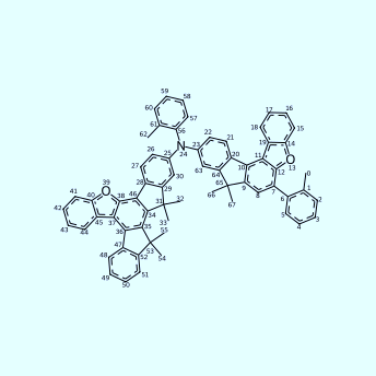 Cc1ccccc1-c1cc2c(c3c1oc1ccccc13)-c1ccc(N(c3ccc4c(c3)C(C)(C)c3c5c(c6c(oc7ccccc76)c3-4)-c3ccccc3C5(C)C)c3ccccc3C)cc1C2(C)C